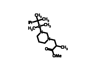 COC(=O)C(C)CN1CCCN([Si](C)(C)C(C)(C)C(C)C)C1